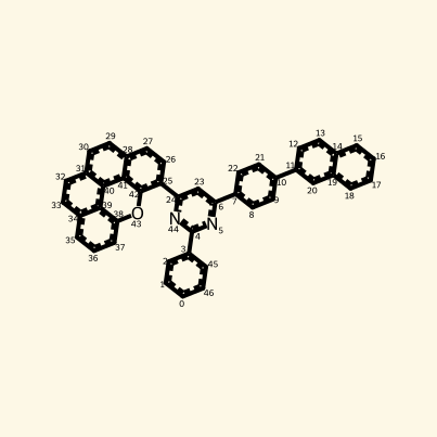 c1ccc(-c2nc(-c3ccc(-c4ccc5ccccc5c4)cc3)cc(-c3ccc4ccc5ccc6cccc7c6c5c4c3O7)n2)cc1